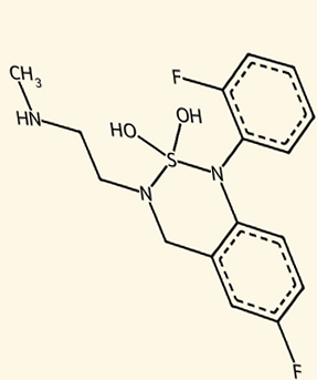 CNCCN1Cc2cc(F)ccc2N(c2ccccc2F)S1(O)O